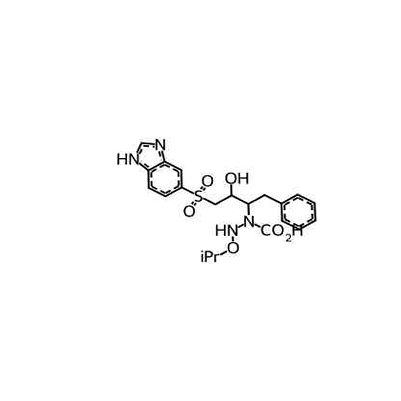 CC(C)ONN(C(=O)O)C(Cc1ccccc1)C(O)CS(=O)(=O)c1ccc2[nH]cnc2c1